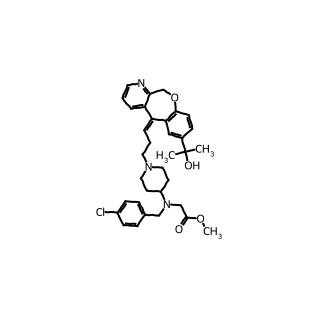 COC(=O)CN(Cc1ccc(Cl)cc1)C1CCN(CC/C=C2\c3cc(C(C)(C)O)ccc3OCc3ncccc32)CC1